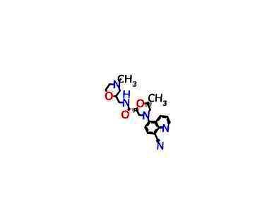 C[C@@H]1CN(c2ccc(C#N)c3ncccc23)C[C@H](C(=O)NCC2CN(C)CCO2)O1